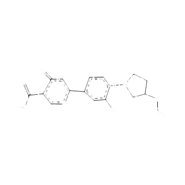 COC1CCN(c2ccc(-c3cc(=O)c(C(=O)O)co3)cc2Cl)C1